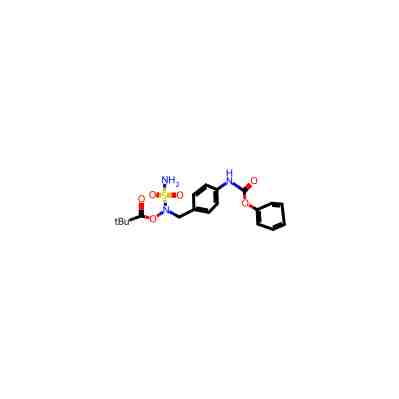 CC(C)(C)C(=O)ON(Cc1ccc(NC(=O)Oc2ccccc2)cc1)S(N)(=O)=O